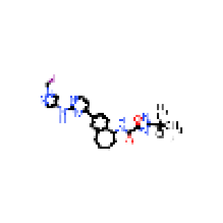 CC(C)(C)c1noc(C(=O)NC2CCCCc3cc(-c4ccnc(Nc5cnn(CI)c5)n4)ccc32)n1